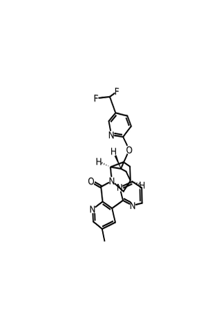 Cc1cnc(C(=O)N2C[C@@H]3CC[C@H]2[C@H](Oc2ccc(C(F)F)cn2)C3)c(-c2ncccn2)c1